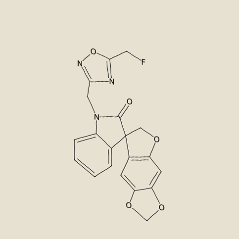 O=C1N(Cc2noc(CF)n2)c2ccccc2C12COc1cc3c(cc12)OCO3